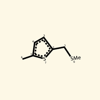 CSCc1ccc(C)s1